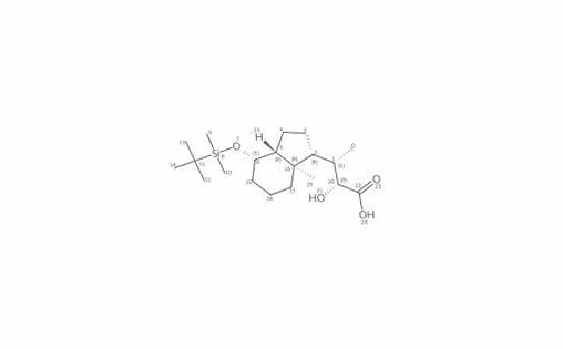 C[C@@H]([C@H]1CC[C@H]2[C@@H](O[Si](C)(C)C(C)(C)C)CCC[C@]12C)[C@@H](O)C(=O)O